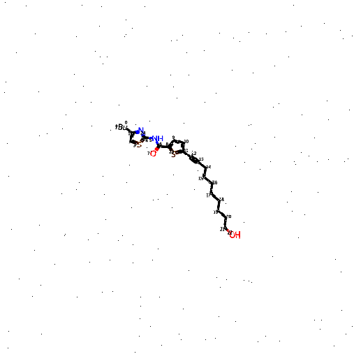 CC(C)(C)c1csc(NC(=O)c2ccc(C#CCCCCCCCCO)s2)n1